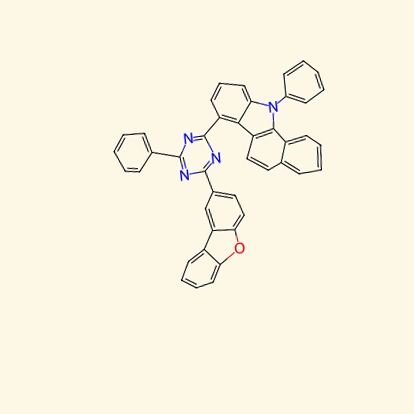 c1ccc(-c2nc(-c3ccc4oc5ccccc5c4c3)nc(-c3cccc4c3c3ccc5ccccc5c3n4-c3ccccc3)n2)cc1